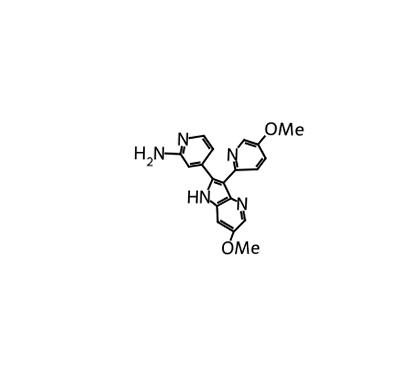 COc1ccc(-c2c(-c3ccnc(N)c3)[nH]c3cc(OC)cnc23)nc1